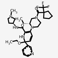 CCOC1(c2cccnc2)C=CC(N2CCN(C(=O)C3(C(F)(F)F)CCCC3)C[C@H]2CC)=C(C(=O)N[C@H]2CCN(C)C2)N1